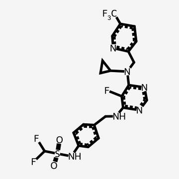 O=S(=O)(Nc1ccc(CNc2ncnc(N(Cc3ccc(C(F)(F)F)cn3)C3CC3)c2F)cc1)C(F)F